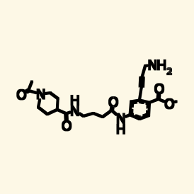 COC(=O)c1ccc(NC(=O)CCCNC(=O)C2CCN(C(C)=O)CC2)cc1C#CCN